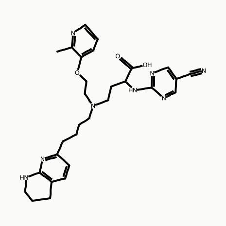 Cc1ncccc1OCCN(CCCCc1ccc2c(n1)NCCC2)CCC(Nc1ncc(C#N)cn1)C(=O)O